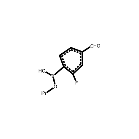 CC(C)OB(O)c1ccc(C=O)cc1F